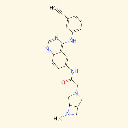 C#Cc1cccc(Nc2ncnc3ccc(NC(=O)CN4CC5CN(C)C5C4)cc23)c1